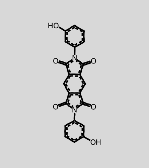 O=c1c2cc3c(=O)n(-c4cccc(O)c4)c(=O)c3cc2c(=O)n1-c1cccc(O)c1